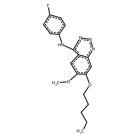 CCCCCOc1cc2nnnc(Nc3ccc(F)cc3)c2cc1OC